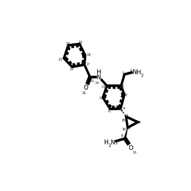 NCc1cc([C@@H]2C[C@H]2C(N)=O)ccc1NC(=O)c1ccccc1